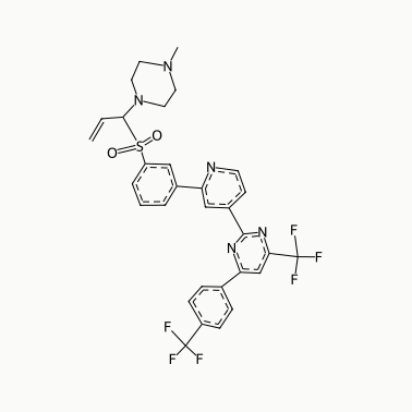 C=CC(N1CCN(C)CC1)S(=O)(=O)c1cccc(-c2cc(-c3nc(-c4ccc(C(F)(F)F)cc4)cc(C(F)(F)F)n3)ccn2)c1